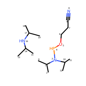 CC(C)N(POCCC#N)C(C)C.CC(C)NC(C)C